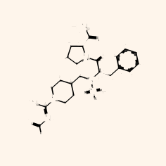 CCC(=O)N=C(N)N1CCC(CN([C@H](Cc2ccccc2)C(=O)N2CCC[C@H]2C(N)=O)S(C)(=O)=O)CC1